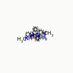 CNC1=CC=CC(CC(C(=O)C(CC2(NC)C=CC=C(NC)C2)c2ccccc2)c2ccccc2)(NC)C1